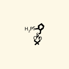 CC1(C)COP(SCc2ccccc2CSP)OC1